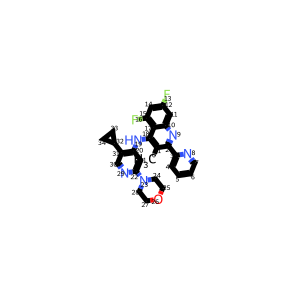 Cc1c(-c2ccccn2)nc2cc(F)cc(F)c2c1Nc1cc(N2CCOCC2)ncc1C1CC1